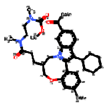 COC(=O)c1ccc2c(C3CCCCC3)c3n(c2c1)CC(CCC(=O)N(C)CCN(C)C(=O)OC(C)(C)C)COc1cc(OC)ccc1-3